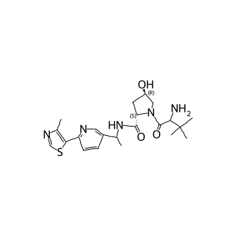 Cc1ncsc1-c1ccc(C(C)NC(=O)[C@@H]2C[C@@H](O)CN2C(=O)C(N)C(C)(C)C)cn1